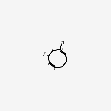 ClC1=CCCC=CCC1.[Ir]